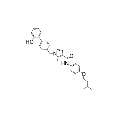 Cc1c(C(=O)Nc2ccc(OCCC(C)C)cc2)ccn1Cc1ccc(-c2ccccc2O)cc1